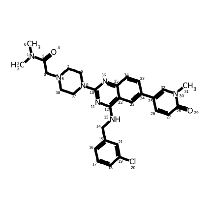 CN(C)C(=O)CN1CCN(c2nc(NCc3cccc(Cl)c3)c3cc(-c4ccc(=O)n(C)c4)ccc3n2)CC1